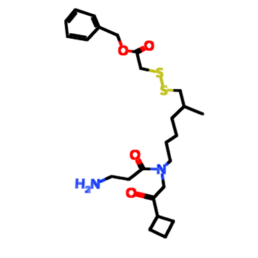 CC(CCCCN(CC(=O)C1CCC1)C(=O)CCN)CSSCC(=O)OCc1ccccc1